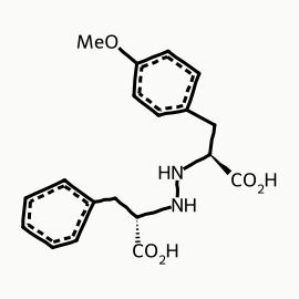 COc1ccc(C[C@H](NN[C@@H](Cc2ccccc2)C(=O)O)C(=O)O)cc1